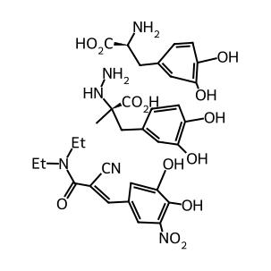 CCN(CC)C(=O)/C(C#N)=C/c1cc(O)c(O)c([N+](=O)[O-])c1.C[C@@](Cc1ccc(O)c(O)c1)(NN)C(=O)O.N[C@@H](Cc1ccc(O)c(O)c1)C(=O)O